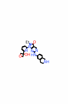 CCn1c(=O)c2cnc(Nc3ccc4c(c3)CCNC4)nc2n1-c1cccc(C2(O)COC2)n1